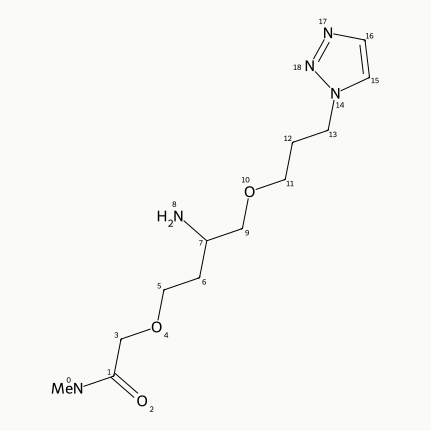 CNC(=O)COCCC(N)COCCCn1ccnn1